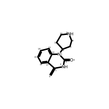 C=C1NC(=O)N(C2CCNCC2)c2ccccc21